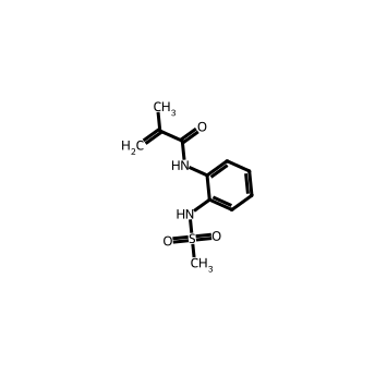 C=C(C)C(=O)Nc1ccccc1NS(C)(=O)=O